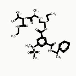 CCC[C@@H](CN[C@@H](C)C(=O)N[C@H](C(=O)NCC)C(C)C)NC(=O)c1cc(C(=O)N[C@H](C)c2ccccc2)cc(N(C)S(C)(=O)=O)c1